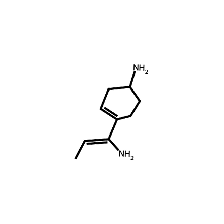 C/C=C(\N)C1=CCC(N)CC1